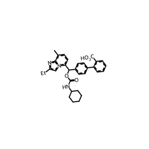 CCc1cn2c(C(OC(=O)NC3CCCCC3)c3ccc(-c4ccccc4C(=O)O)cc3)ccc(C)c2n1